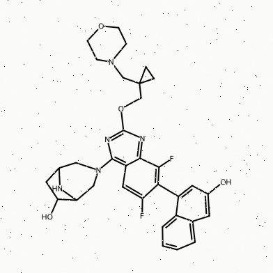 Oc1cc(-c2c(F)cc3c(N4CC5CC(O)C(C4)N5)nc(OCC4(CN5CCOCC5)CC4)nc3c2F)c2ccccc2c1